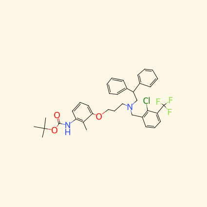 Cc1c(NC(=O)OC(C)(C)C)cccc1OCCCN(Cc1cccc(C(F)(F)F)c1Cl)CC(c1ccccc1)c1ccccc1